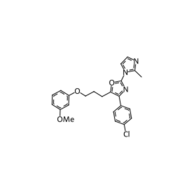 COc1cccc(OCCCc2oc(-n3ccnc3C)nc2-c2ccc(Cl)cc2)c1